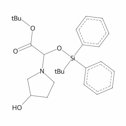 CC(C)(C)OC(=O)C(O[Si](c1ccccc1)(c1ccccc1)C(C)(C)C)N1CCC(O)C1